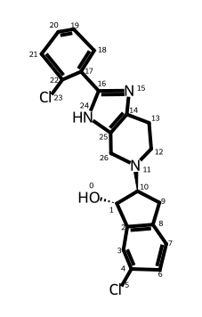 O[C@H]1c2cc(Cl)ccc2C[C@@H]1N1CCc2nc(-c3ccccc3Cl)[nH]c2C1